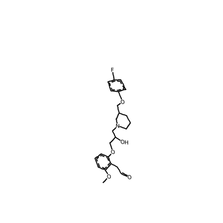 COc1cccc(OCC(O)CN2CCCC(COc3ccc(F)cc3)C2)c1CC=O